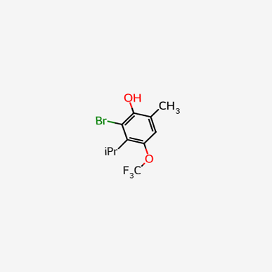 Cc1cc(OC(F)(F)F)c(C(C)C)c(Br)c1O